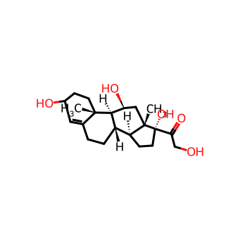 C[C@]12CCC(O)C=C1CC[C@@H]1[C@@H]2[C@@H](O)C[C@@]2(C)[C@H]1CC[C@]2(O)C(=O)CO